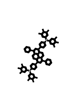 Cc1cc(N(c2ccc(-c3cc(-c4ccccc4)c4ccc5c(-c6ccc(N(c7cc(C)c(C)c(C)c7)c7cc(C)c(C)c(C)c7)cc6)cc(-c6ccccc6)c6ccc3c4c65)cc2)c2cc(C)c(C)c(C)c2)cc(C)c1C